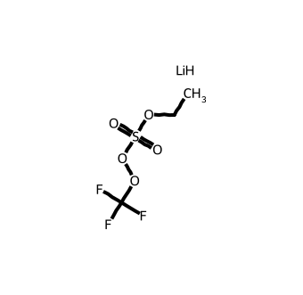 CCOS(=O)(=O)OOC(F)(F)F.[LiH]